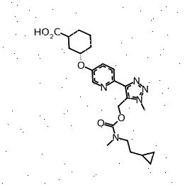 CN(CCC1CC1)C(=O)OCc1c(-c2ccc(O[C@H]3CCCC(C(=O)O)C3)cn2)nnn1C